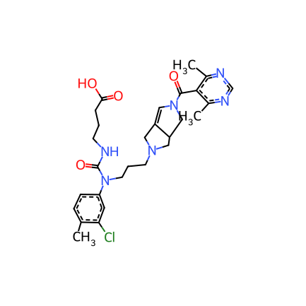 Cc1ccc(N(CCCN2CC3=CN(C(=O)c4c(C)ncnc4C)CC3C2)C(=O)NCCCC(=O)O)cc1Cl